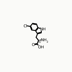 N[C@H](Cc1c[nH]c2ccc(Cl)cc12)C(=O)O